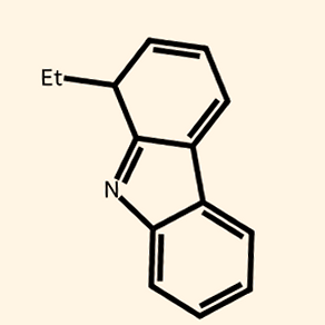 CCC1C=CC=C2C1=Nc1ccccc12